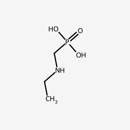 CCNCP(=O)(O)O